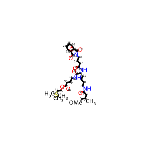 COCC(C)CC(=O)NCCCC[C@H](NC(=O)CCCN1C(=O)C2C3C=CC(O3)C2C1=O)C(=O)NCCCC(=O)OCCS(C)(C)C